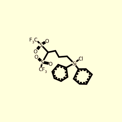 O=S(=O)(C(CCC[Si](Cl)(c1ccccc1)c1ccccc1)S(=O)(=O)C(F)(F)F)C(F)(F)F